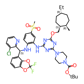 CC[C@H]1CC[C@H](COc2nc(Nc3cc(S(C)(=O)=O)ccc3N[C@@H](c3cccc4c3OC(F)(F)O4)c3ncccc3Cl)nc(N3CCN(C(=O)OC(C)(C)C)CC3)n2)[C@H](C)CC1